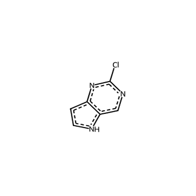 Clc1ncc2[nH]ccc2n1